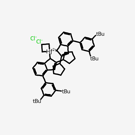 CC(C)(C)c1cc(-c2cccc3c2C=C(C2CCCC2)[CH]3[Hf+2]2([CH]3C(C4CCCC4)=Cc4c(-c5cc(C(C)(C)C)cc(C(C)(C)C)c5)cccc43)[CH2]C[CH2]2)cc(C(C)(C)C)c1.[Cl-].[Cl-]